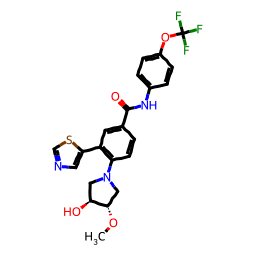 CO[C@H]1CN(c2ccc(C(=O)Nc3ccc(OC(F)(F)F)cc3)cc2-c2cncs2)C[C@@H]1O